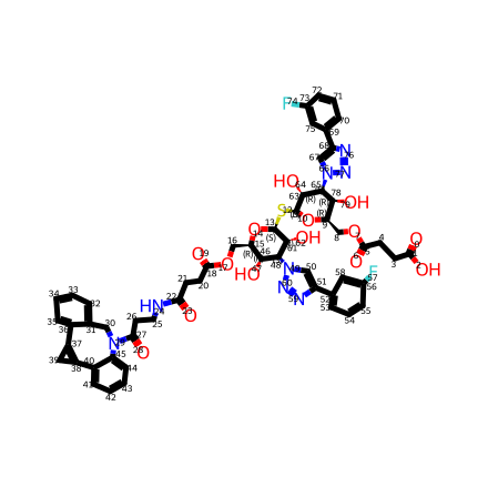 O=C(O)CCC(=O)OC[C@H]1O[C@@H](S[C@@H]2O[C@H](COC(=O)CCC(=O)NCCC(=O)N3Cc4ccccc4C4=C(C4)c4ccccc43)[C@H](O)[C@H](n3cc(-c4cccc(F)c4)nn3)[C@H]2O)[C@H](O)[C@@H](n2cc(-c3cccc(F)c3)nn2)[C@H]1O